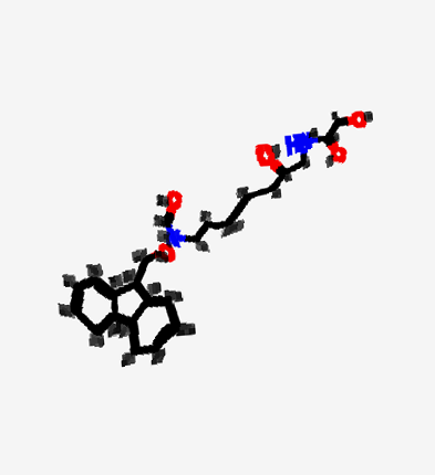 O=CC(=O)NCC(=O)CCCCCN(C=O)OCC1c2ccccc2-c2ccccc21